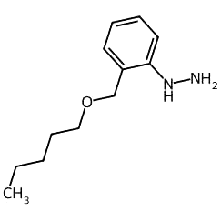 CCCCCOCc1ccccc1NN